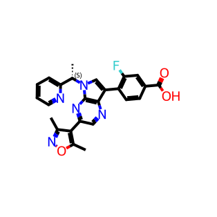 Cc1noc(C)c1-c1cnc2c(-c3ccc(C(=O)O)cc3F)cn([C@@H](C)c3ccccn3)c2n1